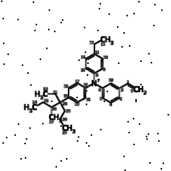 C=Cc1cccc(N(c2ccc(CC)cc2)c2ccc(C(CC)(CCC)C(C)CC)cc2)c1